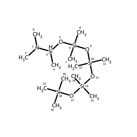 CN(C)[SiH](C)O[Si](C)(C)O[Si](C)(C)O[Si](C)(C)O[Si](C)(C)C